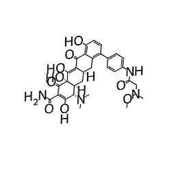 CON(C)CC(=O)Nc1ccc(-c2ccc(O)c3c2C[C@H]2C[C@H]4[C@H](N(C)C)C(O)=C(C(N)=O)C(=O)[C@@]4(O)C(O)=C2C3=O)cc1